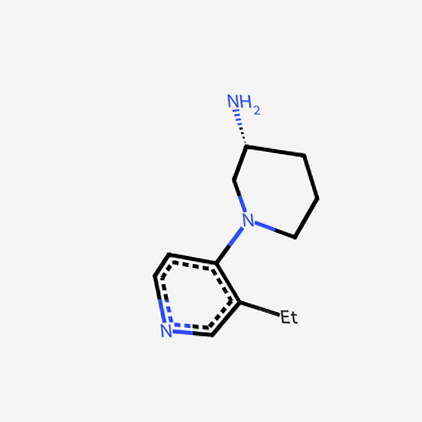 CCc1cnccc1N1CCC[C@@H](N)C1